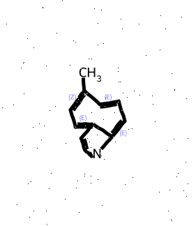 CC1=C/C=c2\cccn\c2=C\C=C\1